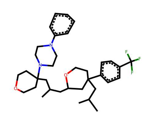 CC(C)CC1(c2ccc(C(F)(F)F)cc2)CCOC(CC(C)CC2(N3CCN(c4ccccc4)CC3)CCOCC2)C1